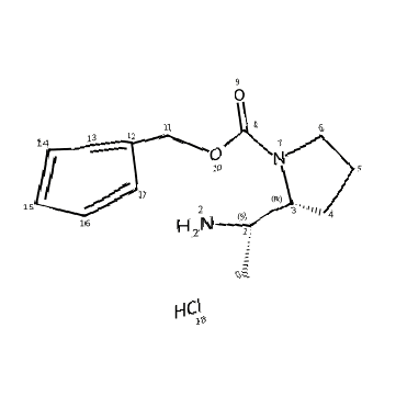 C[C@H](N)[C@H]1CCCN1C(=O)OCc1ccccc1.Cl